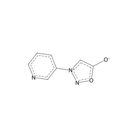 [O-]c1c[n+](-c2cccnc2)no1